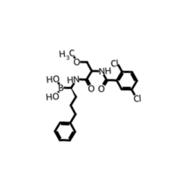 COCC(NC(=O)c1cc(Cl)ccc1Cl)C(=O)N[C@@H](CCCc1ccccc1)B(O)O